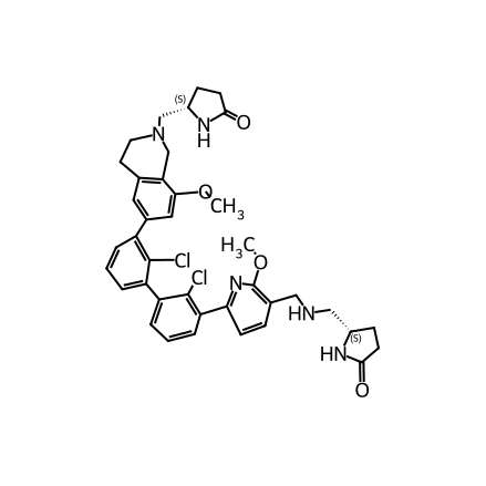 COc1cc(-c2cccc(-c3cccc(-c4ccc(CNC[C@@H]5CCC(=O)N5)c(OC)n4)c3Cl)c2Cl)cc2c1CN(C[C@@H]1CCC(=O)N1)CC2